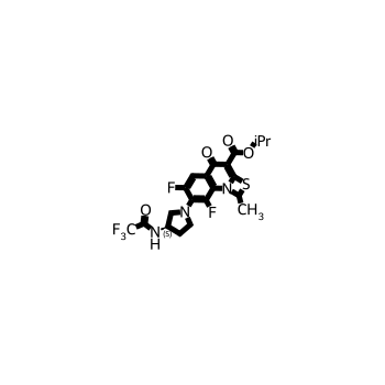 CC(C)OC(=O)c1c2n(c3c(F)c(N4CC[C@H](NC(=O)C(F)(F)F)C4)c(F)cc3c1=O)C(C)S2